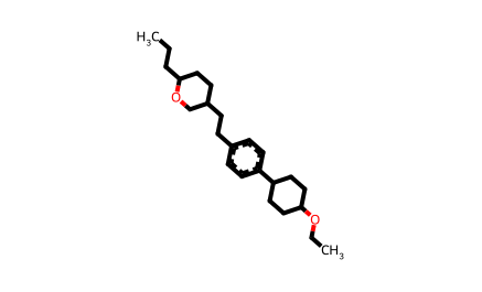 CCCC1CCC(CCc2ccc(C3CCC(OCC)CC3)cc2)CO1